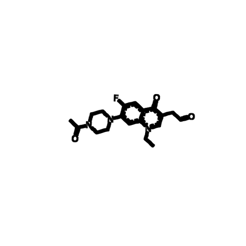 CCn1cc(CC=O)c(=O)c2cc(F)c(N3CCN(C(C)=O)CC3)cc21